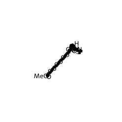 COC(=O)CCOCCOCCOCCOCCOCCOCCC(=O)Nc1ccccc1C(=O)Nc1nc(C)c(C)s1